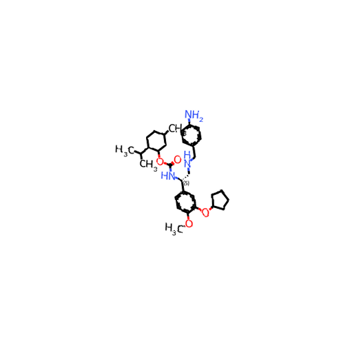 COc1ccc([C@@H](CNCc2ccc(N)cc2)NC(=O)OC2CC(C)CCC2C(C)C)cc1OC1CCCC1